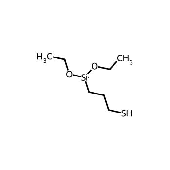 CCO[Si](CCCS)OCC